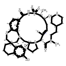 C[C@@H]1[C@@H](C)C/C=C(\F)[C@H](C(=O)N(C)CCC2CCOCC2)N2CCC[C@H]2CN2C[C@@]3(CCCc4cc(Cl)ccc43)COc3ccc(cc32)C(=O)NS1(=O)=O